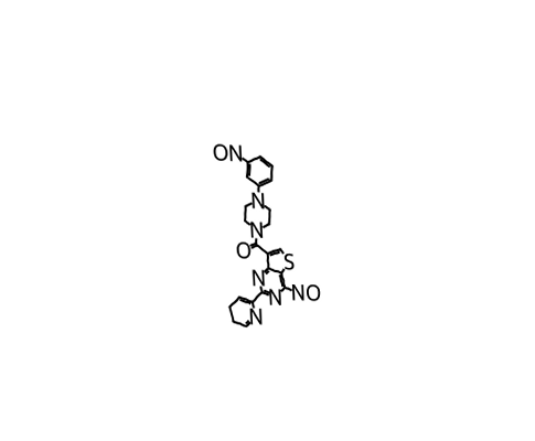 O=Nc1cccc(N2CCN(C(=O)c3csc4c(N=O)nc(C5=CCCC=N5)nc34)CC2)c1